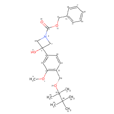 COc1cc(C2(O)CN(C(=O)OCc3ccccc3)C2)ccc1CO[Si](C)(C)C(C)(C)C